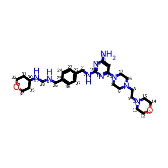 Nc1cc(N2CCN(CCN3CCOCC3)CC2)nc(NCc2ccc(CNCNC3CCOCC3)cc2)n1